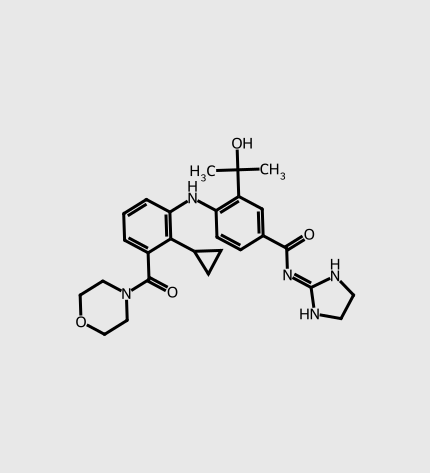 CC(C)(O)c1cc(C(=O)N=C2NCCN2)ccc1Nc1cccc(C(=O)N2CCOCC2)c1C1CC1